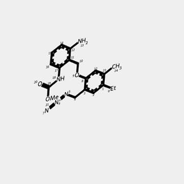 CCc1cc(CN=[N+]=[N-])c(OCc2c(N)cccc2NC(=O)OC)cc1C